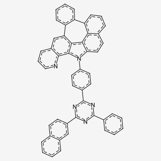 c1ccc(-c2nc(-c3ccc(-n4c5ccc6cccc7c6c5c5c(cc6cccnc6c54)-c4ccccc4-7)cc3)nc(-c3ccc4ccccc4c3)n2)cc1